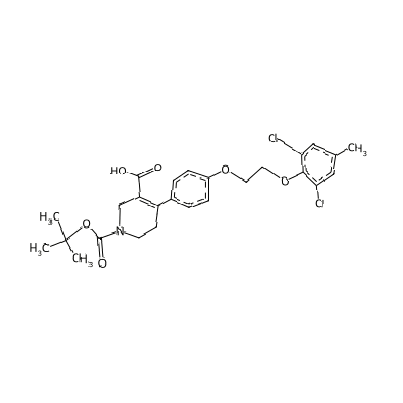 Cc1cc(Cl)c(OCCOc2ccc(C3=C(C(=O)O)CN(C(=O)OC(C)(C)C)CC3)cc2)c(Cl)c1